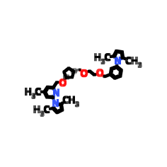 Cc1cc(CO[C@H]2CC[C@H](COCCOCc3cccc(-n4c(C)ccc4C)c3)C2)nc(-n2c(C)ccc2C)c1